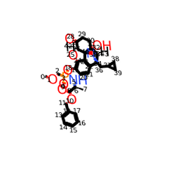 COCP(=O)(N[C@@H](C)C(=O)OCc1ccccc1)Oc1ccc2c3c1O[C@H]1C(=O)CCC4(O)[C@@H](C2)N(CC2CC2)CC314